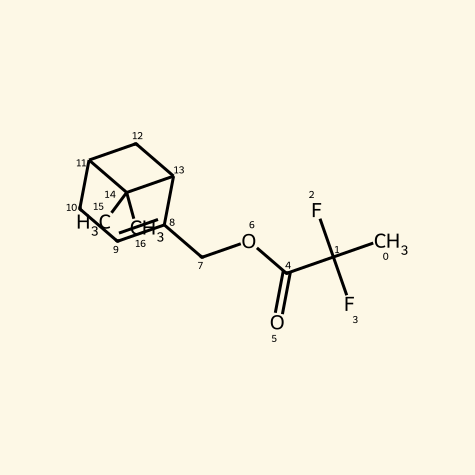 CC(F)(F)C(=O)OCC1=CCC2CC1C2(C)C